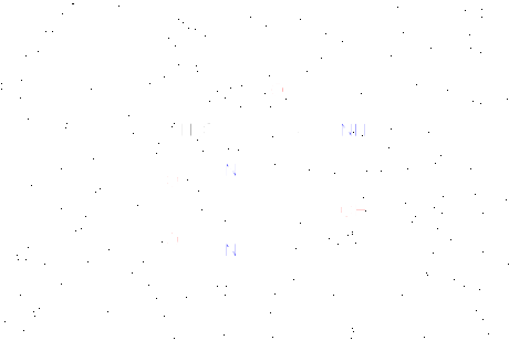 CN1C(C(=O)Nc2ccccc2)=C(O)CN(Cc2ccccc2)S1(=O)=O